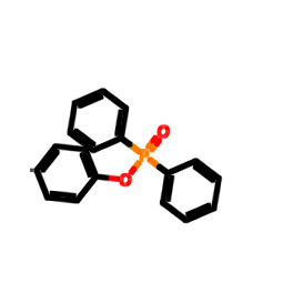 O=P(Oc1cc[c]cc1)(c1ccccc1)c1ccccc1